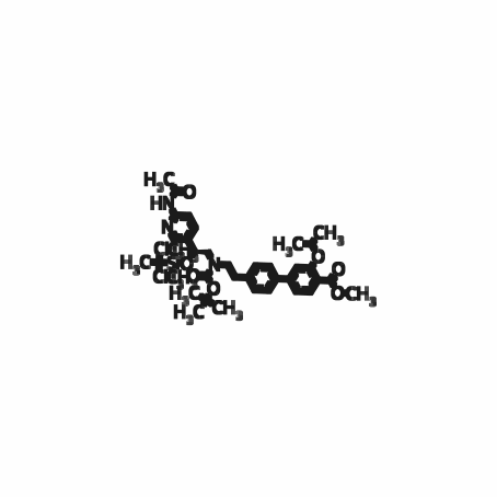 COC(=O)c1ccc(-c2ccc(CCN(C[C@@H](O[Si](C)(C)C(C)(C)C)c3ccc(NC(C)=O)nc3)C(=O)OC(C)(C)C)cc2)cc1OC(C)C